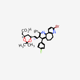 CC(C)c1nc2c(c(-c3ccc(F)cc3)c1/C=C/[C@@H]1C[C@H](CC(=O)O)OC(C)(C)O1)CCCc1nc(Br)ccc1-2